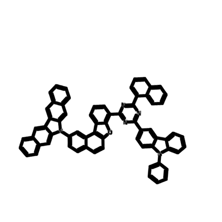 c1ccc(-n2c3ccccc3c3cc(-c4nc(-c5cccc6ccccc56)nc(-c5cccc6c5oc5ccc7ccc(-n8c9cc%10ccccc%10cc9c9cc%10ccccc%10cc98)cc7c56)n4)ccc32)cc1